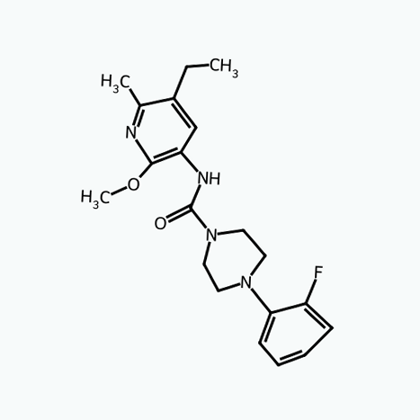 CCc1cc(NC(=O)N2CCN(c3ccccc3F)CC2)c(OC)nc1C